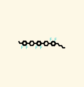 CCCCCc1ccc(C2CC=C(c3ccc(C4CC=C(c5ccc(CC)c(F)c5F)CC4)c(F)c3F)CC2)c(F)c1F